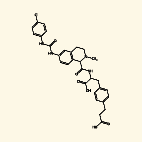 CN1CCc2cc(NC(=O)Nc3ccc(Cl)cc3)ccc2C1C(=O)NC(Cc1ccc(CCC(=O)O)cc1)C(=O)O